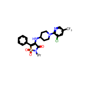 CC(C)N1C(=O)C(NC2CCN(c3ncc(C(F)(F)F)cc3Cl)CC2)=C(c2ccccc2)S1(=O)=O